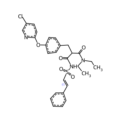 CCN(CC)C(=O)C(Cc1ccc(Oc2ccc(Cl)cn2)cc1)C(=O)NS(=O)(=O)/C=C/c1ccccc1